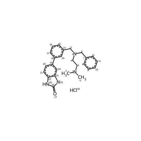 CN(C)CCN(Cc1ccccc1)Cc1cccc(-c2ccc3c(c2)[N]C(=O)N3)c1.Cl